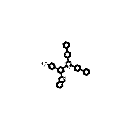 Cc1ccc(-c2cc(-c3cc4ccccc4cn3)cc(-c3nc(-c4ccc(-c5ccccc5)cc4)nc(-c4ccc(-c5ccccc5)cc4)n3)c2)cc1